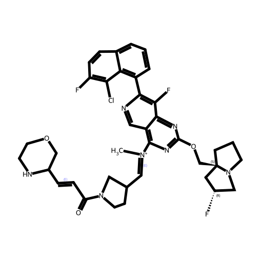 C/[N+](=C\C1CCN(C(=O)/C=C/C2COCCN2)C1)c1nc(OC[C@@]23CCCN2C[C@H](F)C3)nc2c(F)c(-c3cccc4ccc(F)c(Cl)c34)ncc12